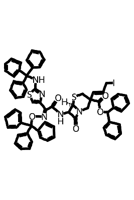 O=C(NC1C(=O)N2CC(C=CCI)(C(=O)OC(c3ccccc3)c3ccccc3)CS[C@H]12)C(=NOC(c1ccccc1)(c1ccccc1)c1ccccc1)c1csc(NC(c2ccccc2)(c2ccccc2)c2ccccc2)n1